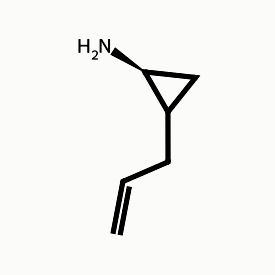 C=CCC1C[C@@H]1N